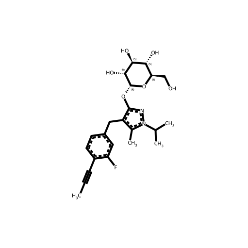 CC#Cc1ccc(Cc2c(O[C@H]3O[C@H](CO)[C@@H](O)[C@H](O)[C@H]3O)nn(C(C)C)c2C)cc1F